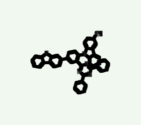 N#Cc1ccc2c(c1)c1ccccc1n2-c1ccc(-c2ccc3c(c2)sc2ccccc23)cc1-c1nc(-c2ccccc2)nc(-c2ccccc2)n1